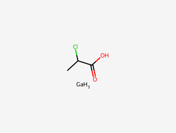 CC(Cl)C(=O)O.[GaH3]